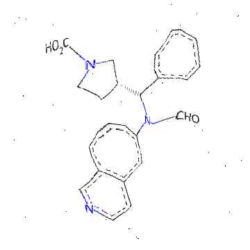 O=CN(c1ccc2cnccc2c1)C(c1ccccc1)[C@@H]1CCN(C(=O)O)C1